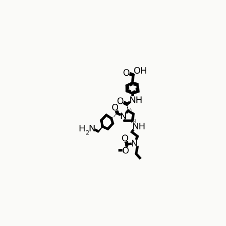 CCCN(CCN[C@H]1C[C@@H](C(=O)Nc2ccc(C(=O)O)cc2)N(C(=O)[C@H]2CC[C@H](CN)CC2)C1)C(=O)OC